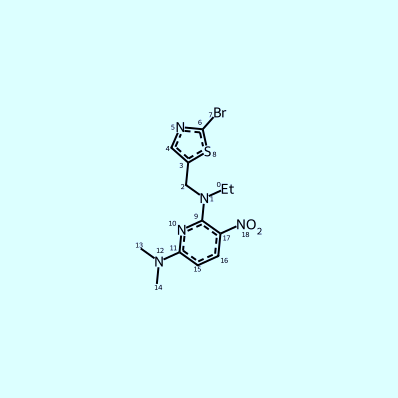 CCN(Cc1cnc(Br)s1)c1nc(N(C)C)ccc1[N+](=O)[O-]